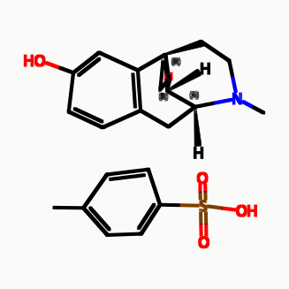 CN1CC[C@]23CCCC[C@H]2[C@H]1Cc1ccc(O)cc13.Cc1ccc(S(=O)(=O)O)cc1